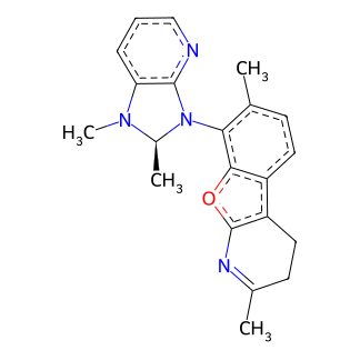 CC1=Nc2oc3c(N4c5ncccc5N(C)[C@@H]4C)c(C)ccc3c2CC1